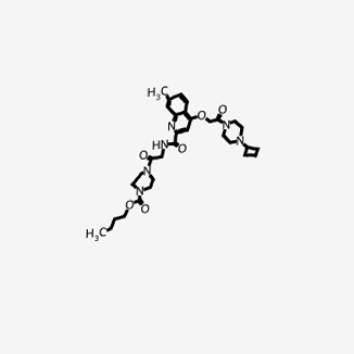 CCCCOC(=O)N1CCN(C(=O)CNC(=O)c2cc(OCC(=O)N3CCN(C4CCC4)CC3)c3ccc(C)cc3n2)CC1